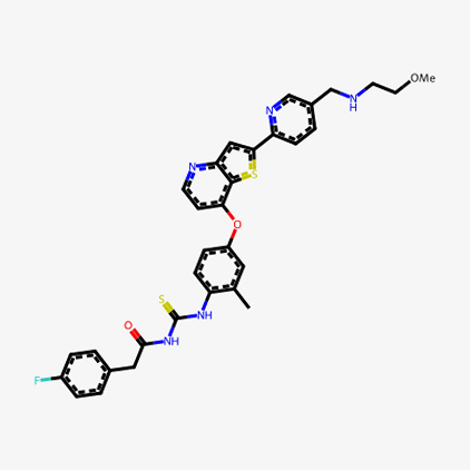 COCCNCc1ccc(-c2cc3nccc(Oc4ccc(NC(=S)NC(=O)Cc5ccc(F)cc5)c(C)c4)c3s2)nc1